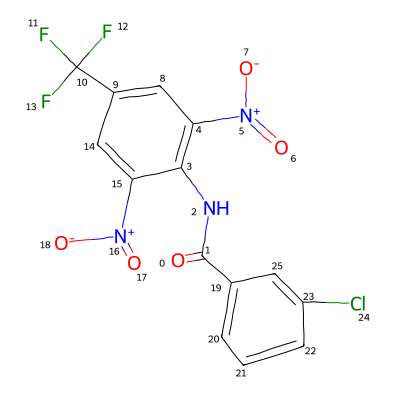 O=C(Nc1c([N+](=O)[O-])cc(C(F)(F)F)cc1[N+](=O)[O-])c1cccc(Cl)c1